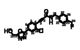 O=C(C#Cc1ccc(-c2nnc(CO)o2)cc1Cl)NCc1ccc(CF)cc1